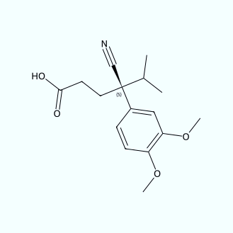 COc1ccc([C@](C#N)(CCC(=O)O)C(C)C)cc1OC